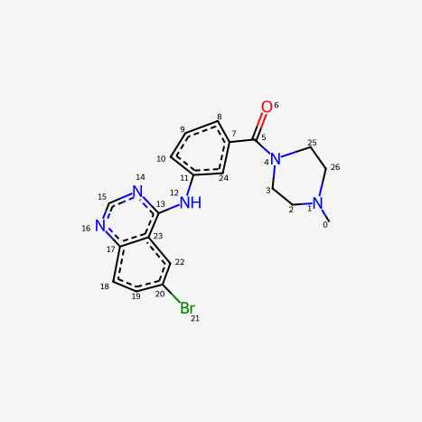 CN1CCN(C(=O)c2cccc(Nc3ncnc4ccc(Br)cc34)c2)CC1